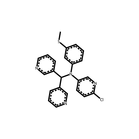 CSc1cccc(N(c2ccc(Cl)nc2)C(c2cccnc2)c2cccnc2)c1